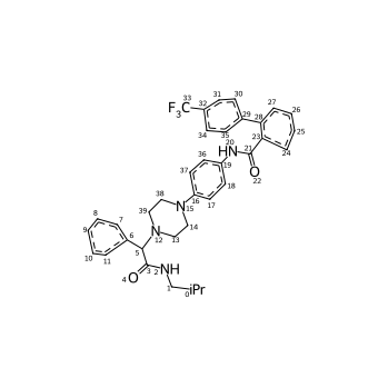 CC(C)CNC(=O)C(c1ccccc1)N1CCN(c2ccc(NC(=O)c3ccccc3-c3ccc(C(F)(F)F)cc3)cc2)CC1